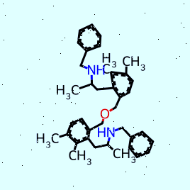 Cc1ccc(COCc2ccc(C)c(C)c2CC(C)NCc2ccccc2)c(CC(C)NCc2ccccc2)c1C